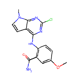 COc1ccc(Nc2nc(Cl)nc3c2ccn3C)c(C(N)=O)c1